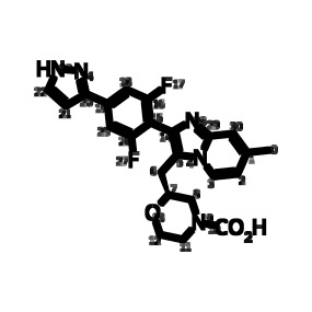 Cc1ccn2c(C[C@H]3CN(C(=O)O)CCO3)c(-c3c(F)cc(-c4cc[nH]n4)cc3F)nc2c1